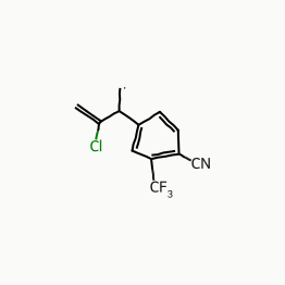 [CH2]C(C(=C)Cl)c1ccc(C#N)c(C(F)(F)F)c1